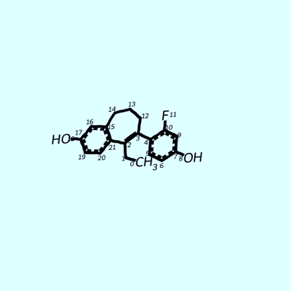 CCC1=C(c2ccc(O)cc2F)CCCc2cc(O)ccc21